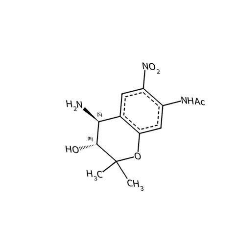 CC(=O)Nc1cc2c(cc1[N+](=O)[O-])[C@H](N)[C@@H](O)C(C)(C)O2